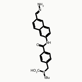 CC(C)(C)N(Cc1ccc(C(=O)Nc2ccc3cc(C=NN)ccc3c2)cc1)C(=O)O